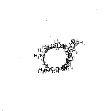 CO[C@H]1C[C@@H](O)CC[C@@H](C)[C@](C)(O)C(=O)C(=O)N2CCCC[C@H]2C(=O)OC([C@H](C)C[C@@H]2CC[C@@H](O)[C@H](C)C2)CC(=O)[C@H](C)/C=C(\C)[C@@H](O)[C@@H](C)C(=O)[C@H](C)C[C@H](C)/C=C/C=C/C=C/1C